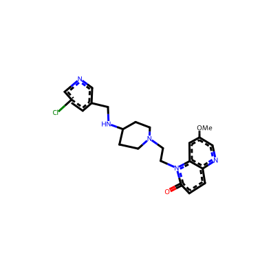 COc1cnc2ccc(=O)n(CCN3CCC(NCc4cncc(Cl)c4)CC3)c2c1